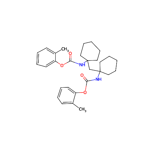 Cc1ccccc1OC(=O)NC1(CC2(NC(=O)Oc3ccccc3C)CCCCC2)CCCCC1